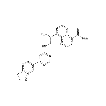 CNC(=O)c1ccnc2c(C(C)CNc3cc(-c4cnc5ccnn5c4)ncn3)cccc12